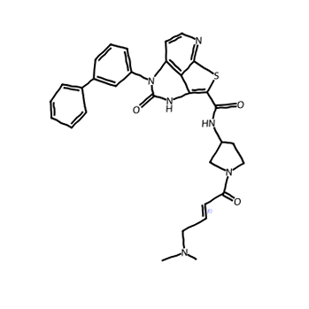 CN(C)C/C=C/C(=O)N1CCC(NC(=O)c2sc3nccc4c3c2NC(=O)N4c2cccc(-c3ccccc3)c2)C1